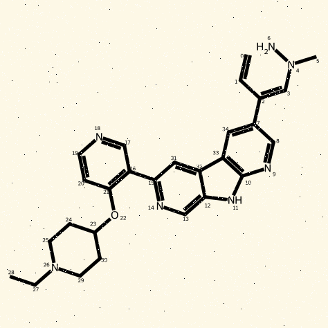 C=C/C(=C\N(C)N)c1cnc2[nH]c3cnc(-c4cnccc4OC4CCN(CC)CC4)cc3c2c1